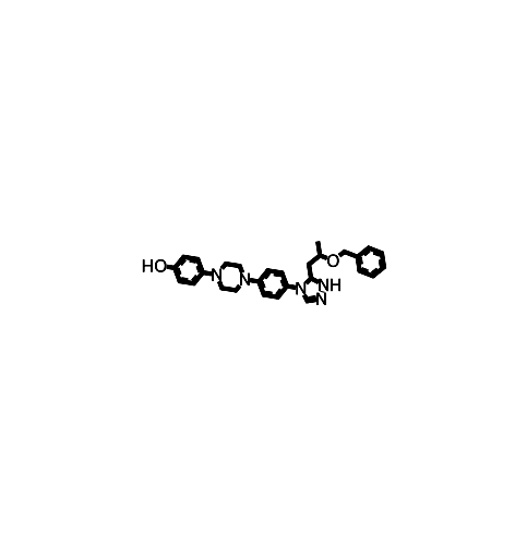 CC(CC1NN=CN1c1ccc(N2CCN(c3ccc(O)cc3)CC2)cc1)OCc1ccccc1